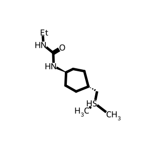 CCNC(=O)N[C@H]1CC[C@H](C[SH](C)C)CC1